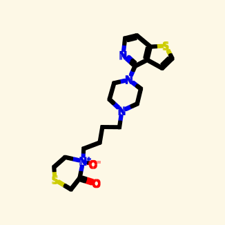 O=C1CSCC[N+]1([O-])CCCCN1CCN(c2nccc3sccc23)CC1